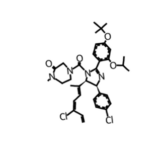 C=C/C(Cl)=C\C=C(/C)[C@@H]1[C@H](c2ccc(Cl)cc2)N=C(c2ccc(OC(C)(C)C)cc2OC(C)C)N1C(=O)N1CCN(C)C(=O)C1